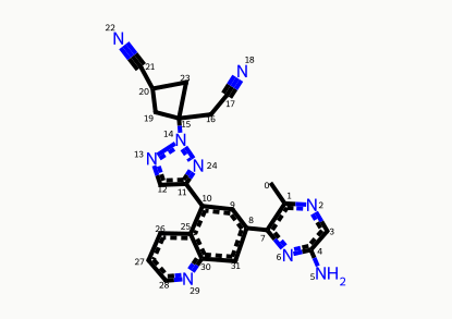 Cc1ncc(N)nc1-c1cc(-c2cnn(C3(CC#N)CC(C#N)C3)n2)c2cccnc2c1